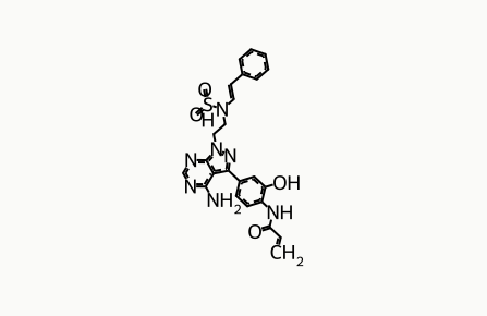 C=CC(=O)Nc1ccc(-c2nn(CCN(C=Cc3ccccc3)[SH](=O)=O)c3ncnc(N)c23)cc1O